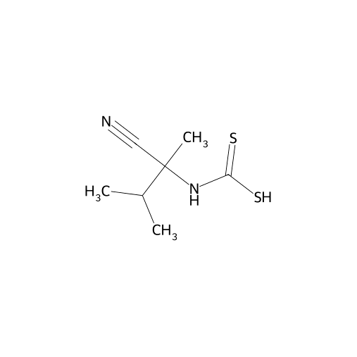 CC(C)C(C)(C#N)NC(=S)S